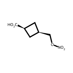 O=C(O)[C@H]1C[C@@H](CO[N+](=O)[O-])C1